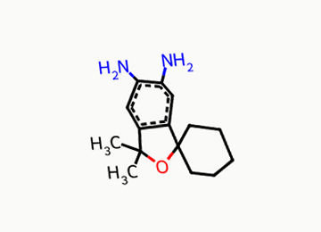 CC1(C)OC2(CCCCC2)c2cc(N)c(N)cc21